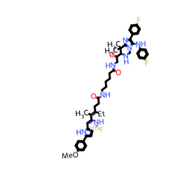 CC/C(CCC(=O)NCCCCCC(=O)NCC(=O)C1NCn2c(nc(-c3ccc(F)cc3)c2Nc2ccc(F)cc2)C1(C)C)=C(C)\C(=C\c1ccc(-c2ccc(OC)cc2)[nH]1)NBF